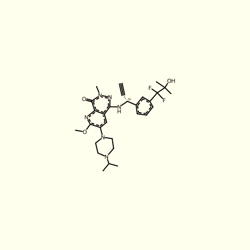 C#C[C@@H](Nc1nn(C)c(=O)c2nc(OC)c(N3CCN(C(C)C)CC3)cc12)c1cccc(C(F)(F)C(C)(C)O)c1